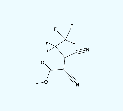 COC(=O)C(C#N)C(C#N)C1(C(F)(F)F)CC1